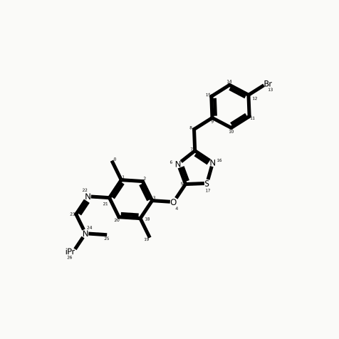 Cc1cc(Oc2nc(Cc3ccc(Br)cc3)ns2)c(C)cc1/N=C\N(C)C(C)C